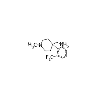 CN1CCC(CN)(c2ccccc2C(F)(F)F)CC1